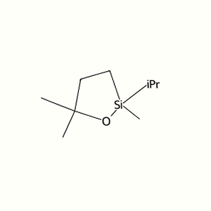 CC(C)[Si]1(C)CCC(C)(C)O1